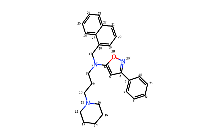 c1ccc(-c2cc(N(CCCN3CCCCC3)Cc3cccc4ccccc34)on2)cc1